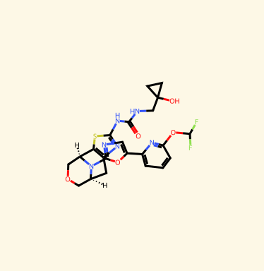 O=C(NCC1(O)CC1)Nc1nc2c(s1)[C@@H]1COC[C@H](C2)N1c1ncc(-c2cccc(OC(F)F)n2)o1